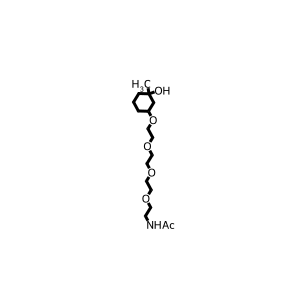 CC(=O)NCCOCCOCCOCCOC1CCCC(C)(O)C1